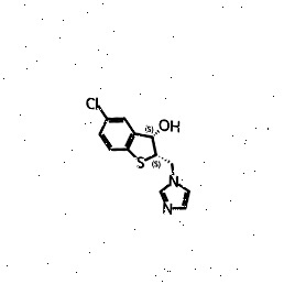 O[C@H]1c2cc(Cl)ccc2S[C@H]1Cn1ccnc1